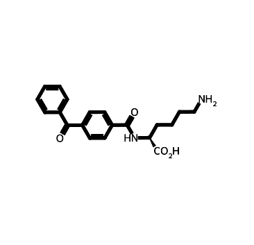 NCCCC[C@H](NC(=O)c1ccc(C(=O)c2ccccc2)cc1)C(=O)O